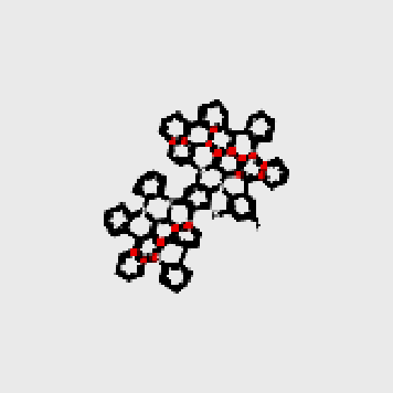 Fc1cc(F)c(N2c3cc4c(cc3B3c5ccccc5N(c5ccccc5-c5ccccc5)c5cc(N(c6ccccc6)c6ccccc6-c6ccccc6)cc2c53)B2c3ccccc3N(c3ccccc3-c3ccccc3)c3cc(N(c5ccccc5)c5ccccc5-c5ccccc5)cc(c32)S4)c(-c2ccccc2)c1